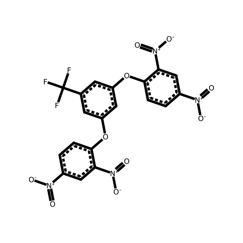 O=[N+]([O-])c1ccc(Oc2cc(Oc3ccc([N+](=O)[O-])cc3[N+](=O)[O-])cc(C(F)(F)F)c2)c([N+](=O)[O-])c1